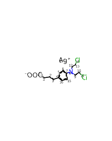 O=C([O-])CCCc1ccc(N(CCCl)CCCl)cc1.[Ag+]